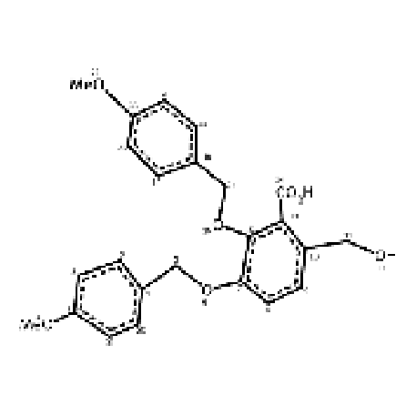 COc1ccc(COc2ccc(CO)c(C(=O)O)c2OCc2ccc(OC)cc2)cc1